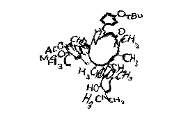 CO[C@]1(C)C[C@H](C[C@H]2[C@H](C)[C@@H](O[C@@H]3O[C@H](C)C[C@H](N(C)C)[C@H]3O)[C@](C)(O)C[C@@H](C)CN(C)C(=O)C[C@H](Cc3ccc(OC(C)(C)C)cc3)NC(=O)[C@@H]2C)O[C@@H](C)[C@@H]1OC(C)=O